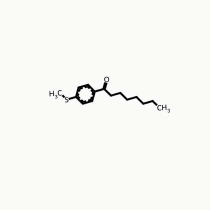 CCCCCCCC(=O)c1ccc(SC)cc1